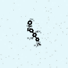 COc1cc(-c2ccc3c(ccn3S(=O)(=O)c3ccc(C)cc3)c2)c(OC)cc1-c1ccc(OS(C)(=O)=O)cc1